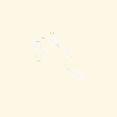 COc1cc2ncnc(Nc3ccc(F)c(Cl)c3)c2cc1NC(=O)/C=C/CN1CCN(Cc2cccc(N3CCC(=O)NC3=O)c2)CC1